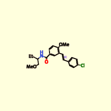 CCC(COC)NC(=O)c1ccc(OC)c(/C=C/c2ccc(Cl)cc2)c1